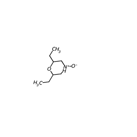 CCC1C[NH+]([O-])CC(CC)O1